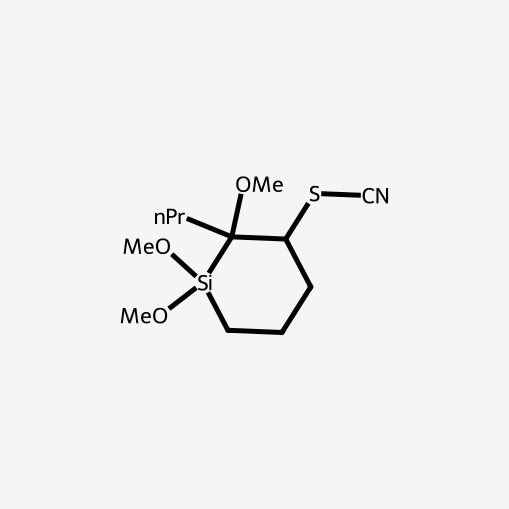 CCCC1(OC)C(SC#N)CCC[Si]1(OC)OC